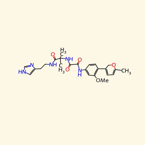 COc1cc(NC(=O)C(=O)NC(C)(C)C(=O)NCCc2c[nH]cn2)ccc1C1=CC=C(C)OC1